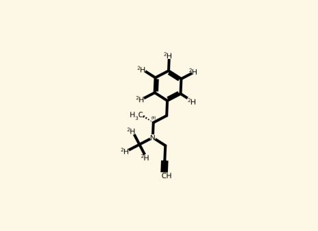 [2H]c1c([2H])c([2H])c(C[C@@H](C)N(CC#C)C([2H])([2H])[2H])c([2H])c1[2H]